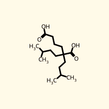 CC(C)CCC(CCCC(=O)O)(CCC(C)C)C(=O)O